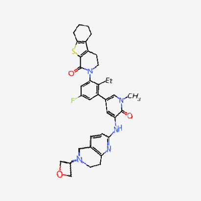 CCc1c(-c2cc(Nc3ccc4c(n3)CCN(C3COC3)C4)c(=O)n(C)c2)cc(F)cc1N1CCc2c(sc3c2CCCC3)C1=O